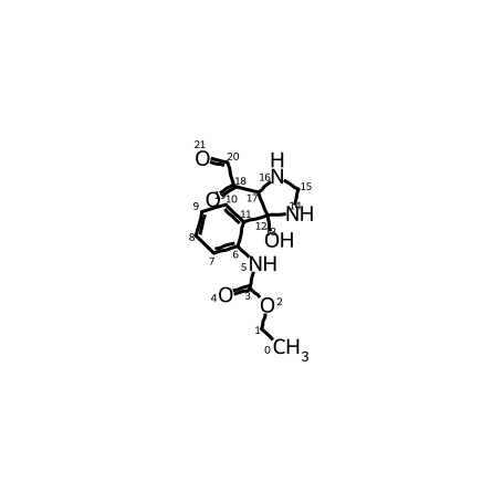 CCOC(=O)Nc1ccccc1C1(O)NCNC1C(=O)C=O